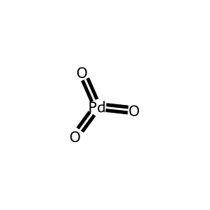 [O]=[Pd](=[O])=[O]